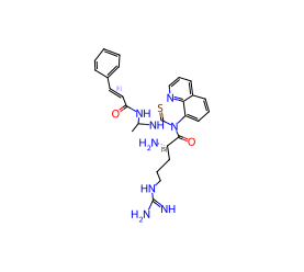 CC(NC(=O)/C=C/c1ccccc1)NC(=S)N(C(=O)[C@@H](N)CCCNC(=N)N)c1cccc2cccnc12